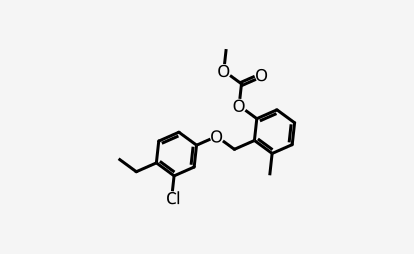 CCc1ccc(OCc2c(C)cccc2OC(=O)OC)cc1Cl